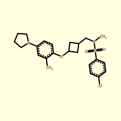 Cc1cc(N2CCCC2)ccc1OC1CC(CN(C)S(=O)(=O)c2ccc(Cl)cc2)C1